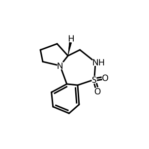 O=S1(=O)NC[C@H]2CCCN2c2ccccc21